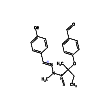 CCC(C)(Oc1ccc(C=O)cc1)[PH](=S)N(C)/N=C/c1ccc(O)cc1